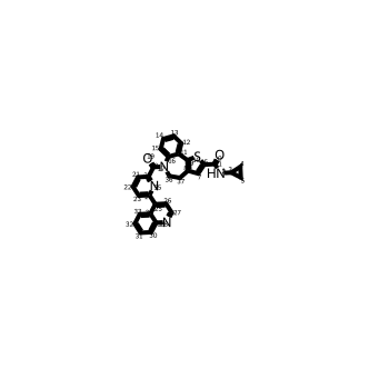 O=C(NC1CC1)c1cc2c(s1)-c1ccccc1N(C(=O)c1cccc(-c3ccnc4ccccc34)n1)CC2